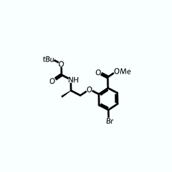 COC(=O)c1ccc(Br)cc1OC[C@@H](C)NC(=O)OC(C)(C)C